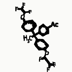 CC(=O)c1ccc(C(C)(c2ccc(OC(F)=C(F)F)cc2)c2ccc(OC(F)=C(F)F)cc2)cc1